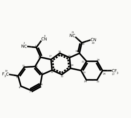 N#CC(C#N)=C1C2=C(C#CCC(C(F)(F)F)=C2)c2cc3c(cc21)C(=C(C#N)C#N)C1=C3CCC(C(F)(F)F)=C1